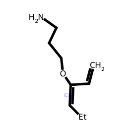 C=C/C(=C\CC)OCCCN